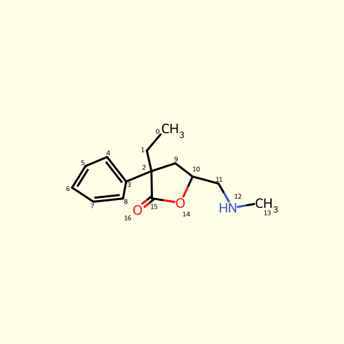 CCC1(c2ccccc2)CC(CNC)OC1=O